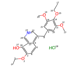 CCOc1ccc2c(Cc3cc(OC)c(OCC)c(OC)c3)cncc2c1O.Cl